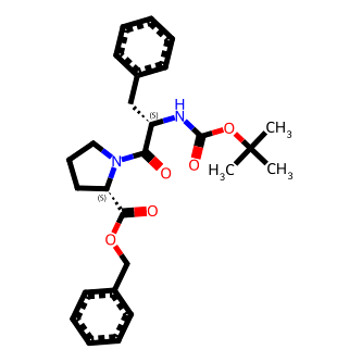 CC(C)(C)OC(=O)N[C@@H](Cc1ccccc1)C(=O)N1CCC[C@H]1C(=O)OCc1ccccc1